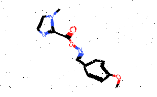 COc1ccc(C=NOC(=O)c2nccn2C)cc1